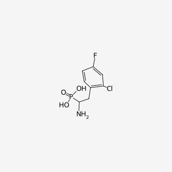 NC(Cc1ccc(F)cc1Cl)P(=O)(O)O